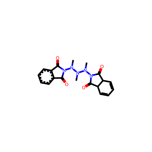 CN(N1C(=O)c2ccccc2C1=O)N(C)N(C)N1C(=O)C2C=CC=CC2C1=O